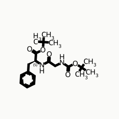 CC(C)(C)OC(=O)NCC(=O)N[C@@H](Cc1ccccc1)C(=O)OC(C)(C)C